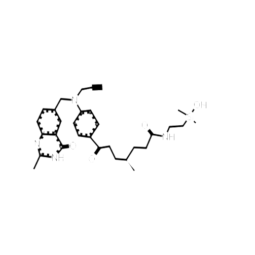 C#CCN(Cc1ccc2nc(C)[nH]c(=O)c2c1)c1ccc(C(=O)CC[C@H](C)CCC(=O)NCC[Si](C)(C)O)cc1